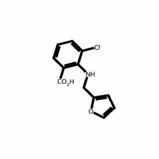 O=C(O)c1cccc(Cl)c1NCc1ccco1